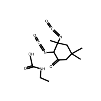 CC1(C)CC(=O)C(N=C=O)C(C)(N=C=O)C1.CCNC(=O)O